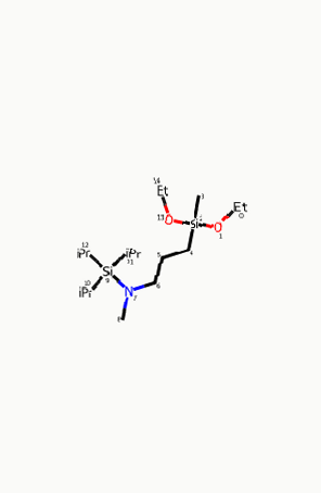 CCO[Si](C)(CCCN(C)[Si](C(C)C)(C(C)C)C(C)C)OCC